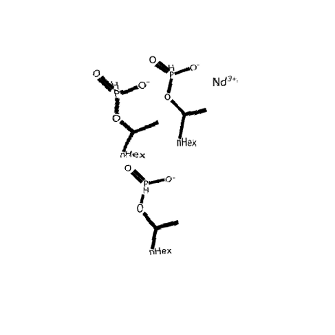 CCCCCCC(C)O[PH](=O)[O-].CCCCCCC(C)O[PH](=O)[O-].CCCCCCC(C)O[PH](=O)[O-].[Nd+3]